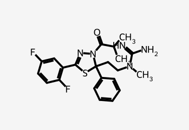 CC(C)C(=O)N1N=C(c2cc(F)ccc2F)SC1(CCN(C)C(=N)N)c1ccccc1